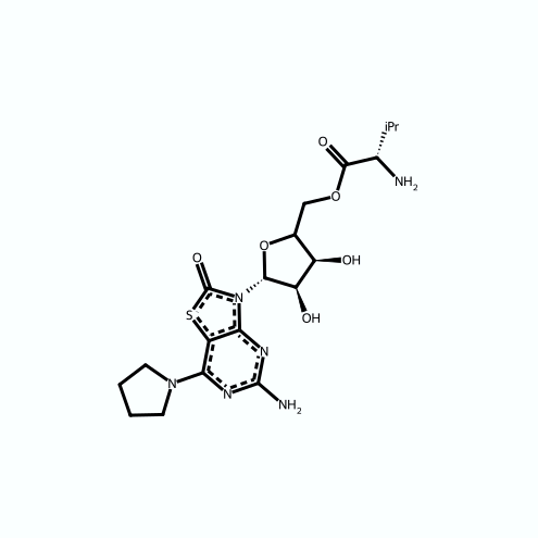 CC(C)[C@H](N)C(=O)OCC1O[C@@H](n2c(=O)sc3c(N4CCCC4)nc(N)nc32)[C@H](O)[C@@H]1O